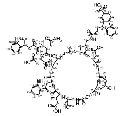 C[C@H](CC(=O)O)[C@@H]1NC(=O)[C@@H](CO)NC(=O)CNC(=O)[C@H](CC(=O)O)NC(=O)[C@@H](C)NC(=O)[C@H](CC(=O)O)NC(=O)[C@H](CCCNC(=O)OCC2c3ccccc3-c3ccc(S(=O)(=O)O)cc32)NC(=O)CNC(=O)[C@@H](NC(=O)[C@H](CC(=O)O)NC(=O)[C@@H](CC(N)=O)NC(=O)C(N)Cc2c[nH]c3ccccc23)[C@@H](C)OC(=O)[C@H](CC(=O)c2ccccc2N)NC1=O